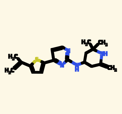 C=C1CC(Nc2nccc(-c3ccc(C(=C)C)s3)n2)CC(C)(C)N1